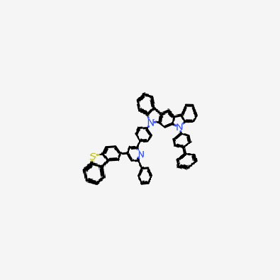 c1ccc(-c2ccc(-n3c4ccccc4c4cc5c6ccccc6n(-c6ccc(-c7cc(-c8ccc9sc%10ccccc%10c9c8)cc(-c8ccccc8)n7)cc6)c5cc43)cc2)cc1